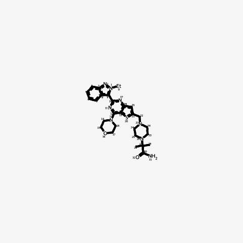 CCn1nc2ccccc2c1-c1nc(N2CCOCC2)c2sc(CN3CCN(C(C)(C)C(N)=O)CC3)cc2n1